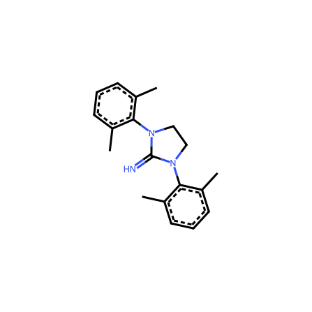 Cc1cccc(C)c1N1CCN(c2c(C)cccc2C)C1=N